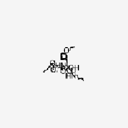 C=CCCS(=O)(=O)C[C@@H](C)C(=O)N[C@@H](Cc1cccc(OCC=C)c1)[C@@H](O)C[C@@H](C)C(=O)NCCCC